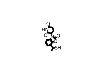 CC(S)c1cccc2c1oc(=O)n2[C@H]1CCC(=O)NC1=O